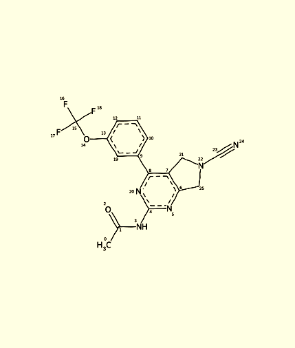 CC(=O)Nc1nc2c(c(-c3cccc(OC(F)(F)F)c3)n1)CN(C#N)C2